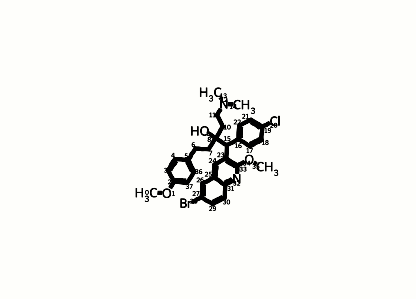 COc1ccc(CCC(O)(CCN(C)C)C(c2ccc(Cl)cc2)c2cc3cc(Br)ccc3nc2OC)cc1